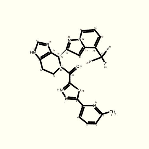 Cc1cccc(-c2nnc(C(=O)N3CCc4[nH]cnc4[C@@H]3c3cc4c(C(F)(F)F)cccn4n3)o2)n1